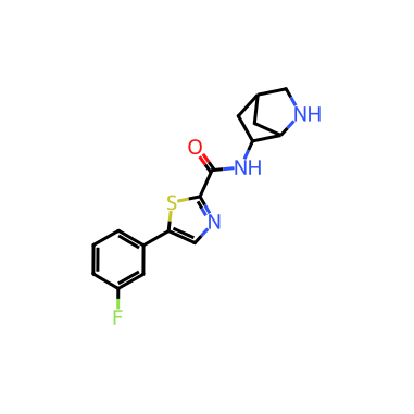 O=C(NC1CC2CNC1C2)c1ncc(-c2cccc(F)c2)s1